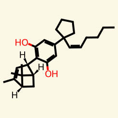 CCCC/C=C\C1(c2cc(O)c([C@H]3C=C(C)[C@H]4C[C@@H]3C4(C)C)c(O)c2)CCCC1